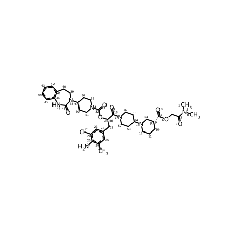 CN(C)C(=O)COC(=O)[C@@H]1CCCN(C2CCN(C(=O)[C@@H](Cc3cc(Cl)c(N)c(C(F)(F)F)c3)OC(=O)N3CCC(N4CCc5ccccc5NC4=O)CC3)CC2)C1